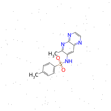 Cc1ccc(S(=O)(=O)Nc2cc3nccnc3nc2C)cc1